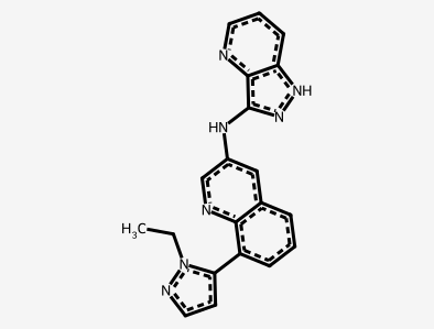 CCn1nccc1-c1cccc2cc(Nc3n[nH]c4cccnc34)cnc12